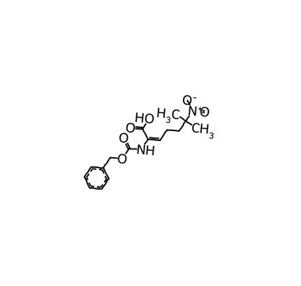 CC(C)(CCC=C(NC(=O)OCc1ccccc1)C(=O)O)[N+](=O)[O-]